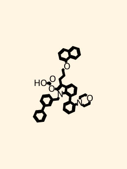 O=C(O)Oc1c(CCCOc2cccc3ccccc23)c2cccc(-c3ccccc3N3CCOCC3)c2n1Cc1cccc(-c2ccccc2)c1